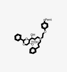 CCCCCc1ccc(OCCN(CCCc2ccccc2)C[C@H](O)[C@@H](O)[C@@H]2OC(c3ccccc3)OC[C@H]2O)cc1